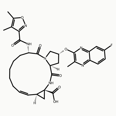 Cc1nc2ccc(F)cc2nc1O[C@@H]1C[C@H]2C(=O)N[C@]3(C(=O)O)C[C@H]3C=CCCCCC[C@H](NC(=O)c3noc(C)c3C)C(=O)N2C1